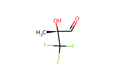 C[C@@](O)([C]=O)C(F)(F)F